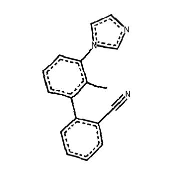 Cc1c(-c2ccccc2C#N)cccc1-n1ccnc1